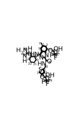 Cc1ccc2nc(C(=O)NCc3cccs3)nc(NC3CCCCC3NC(=N)N)c2c1.O=C(O)C(F)(F)F.O=C(O)C(F)(F)F